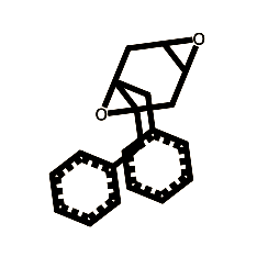 c1ccc(CC23CC4OC4CC2(Cc2ccccc2)O3)cc1